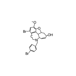 COc1cc(Br)c2c3c1OC1C[C@@H](O)C=CC(C31)N(Cc1ccc(Br)cc1)CC2